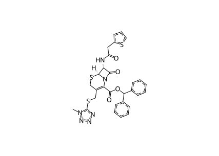 Cn1nnnc1SCC1=C(C(=O)OC(c2ccccc2)c2ccccc2)N2C(=O)[C@@H](NC(=O)Cc3cccs3)[C@@H]2SC1